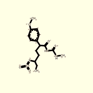 CCC(CCC(C(=O)NC(=S)NC)c1ccc(OC)cc1)N=S(=O)=O